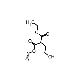 CCCC(C(=O)OCC)C(=O)ON=O